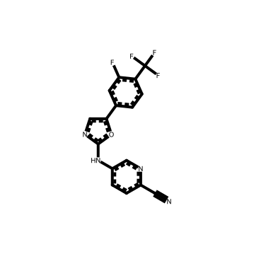 N#Cc1ccc(Nc2ncc(-c3ccc(C(F)(F)F)c(F)c3)o2)cn1